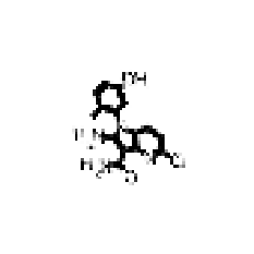 Cc1ccc(O)cc1-n1c(N)c(C(N)=O)c2nc(Cl)ccc21